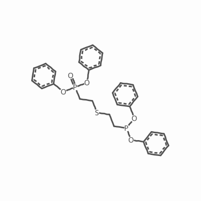 O=P(CCSCCP(Oc1ccccc1)Oc1ccccc1)(Oc1ccccc1)Oc1ccccc1